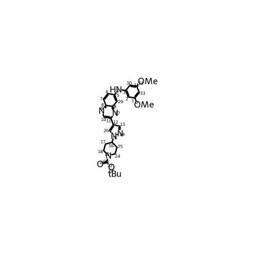 COc1cc(Nc2ccc3ncc(-c4cnn(C5CCN(C(=O)OC(C)(C)C)CC5)c4)nc3c2)cc(OC)c1